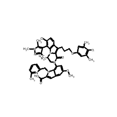 COc1cc(N2CC(C)n3c(c(CCCOc4cc(C)c(Cl)c(C)c4)c4ccc(Cl)c(-c5c(C)nn(C)c5C)c43)C2=O)c2c(c1)cc(C(=O)O)n2Cc1cccc(C)n1